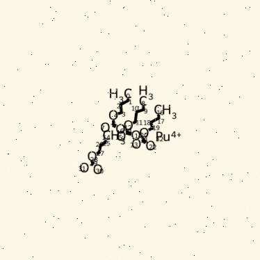 CCCCOC(=O)[O-].CCCCOC(=O)[O-].CCCCOC(=O)[O-].CCCCOC(=O)[O-].[Pu+4]